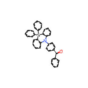 O=C(c1ccccc1)c1ccc(N2c3ccccc3[Si](c3ccccc3)(c3ccccc3)c3ccccc32)cc1